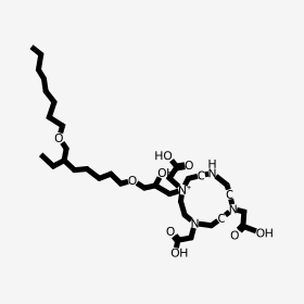 CCCCCCCCOCC(CC)CCCCCOCC(O)C[N+]1(CC(=O)O)CCNCCN(CC(=O)O)CCN(CC(=O)O)CC1